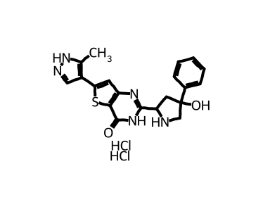 Cc1[nH]ncc1-c1cc2nc(C3CC(O)(c4ccccc4)CN3)[nH]c(=O)c2s1.Cl.Cl